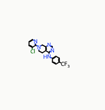 FC(F)(F)c1ccc(Nc2ncnc3c2CCN(c2ncccc2Cl)C3)cc1